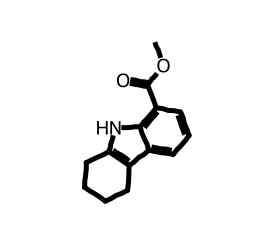 COC(=O)c1cccc2c3c([nH]c12)CCCC3